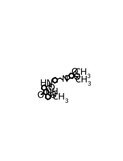 COc1cc2c(cc1OC)CN(CCc1ccc(NC(=O)c3cccc4c(=O)c5cccc(OC)c5[nH]c34)cc1)C2